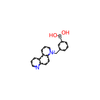 OB(O)c1cccc(C[n+]2cccc3c4cccnc4ccc32)c1